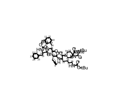 C#CC[C@@H](NC(=O)[C@@H](Cc1ccccc1)NC(=O)C(Cc1ccccc1)NC(=O)OC(C)(C)C)C(=O)N[C@H](CCCCNC(=O)OC(C)(C)C)C(=O)N1CCC(NC(=O)OC(C)(C)C)(C(=O)OC)CC1